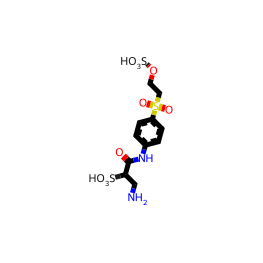 NCC(C(=O)Nc1ccc(S(=O)(=O)CCOS(=O)(=O)O)cc1)S(=O)(=O)O